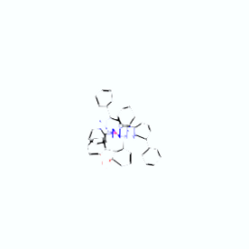 c1ccc(-c2cccc(-c3cc(-c4ccccc4)nc(-c4cccc5oc6cccc(-c7nc8ccccc8n7-c7ccccc7)c6c45)n3)c2)cc1